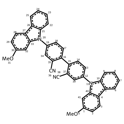 COc1ccc2c3ccccc3n(-c3ccc(-c4ccc(-n5c6ccccc6c6ccc(OC)cc65)cc4C#N)c(C#N)c3)c2c1